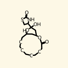 O=C1CCCCCCCCC[C@@H]2CC(CC(O)(C3CSC(=O)N3)O2)O1